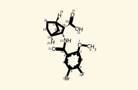 COc1cc(F)c(Br)cc1C(=O)N[C@@H]1[C@H]2CC[C@@H](C2)[C@@H]1C(=O)O